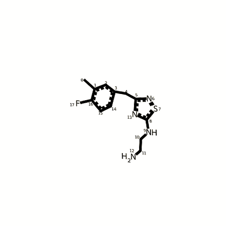 Cc1cc(Cc2nsc(NCCN)n2)ccc1F